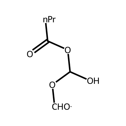 CCCC(=O)OC(O)O[C]=O